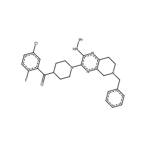 CC(C)Nc1nc2c(nc1N1CCC(C(=O)c3cc(Cl)ccc3F)CC1)CN(Cc1ccccc1)CC2